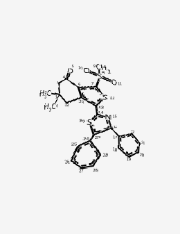 CC1(C)CC(=O)c2c(S(C)(=O)=O)sc(-c3nc(-c4ccccc4)c(-c4ccccc4)s3)c2C1